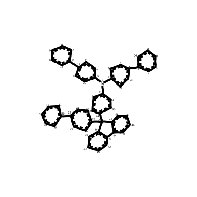 c1ccc(-c2ccc(N(c3ccc(-c4ccccc4)cc3)c3ccc(C4(c5ccc(-c6ccccc6)cc5)c5ccccc5-c5ccccc54)cc3)cc2)cc1